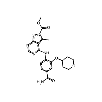 COC(=O)c1sc2ncnc(Nc3ccc(C(N)=O)cc3OC3CCOCC3)c2c1C